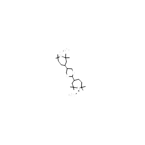 CCCON1C(C)(C)CCC(C2COC(C3CCC(C)(C)N(OCCC)C(C)(C)C3)OC2)CC1(C)C